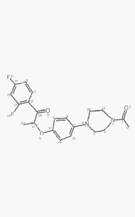 CC(=O)N1CCN(c2ccc(OC(C)C(=O)c3ccc(F)cc3F)cc2)CC1